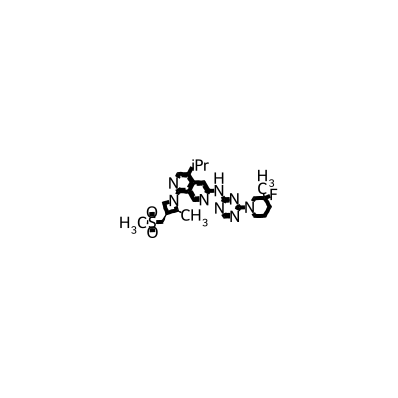 CC(C)c1cnc(N2C[C@H](CS(C)(=O)=O)[C@H]2C)c2cnc(Nc3ncnc(N4CCC[C@](C)(F)C4)n3)cc12